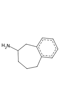 NC1CCCc2ccccc2C1